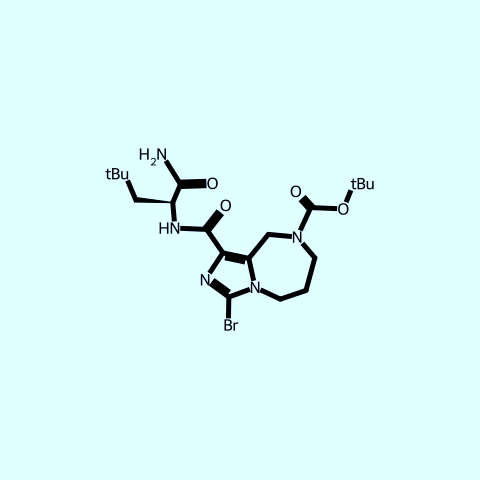 CC(C)(C)C[C@H](NC(=O)c1nc(Br)n2c1CN(C(=O)OC(C)(C)C)CCC2)C(N)=O